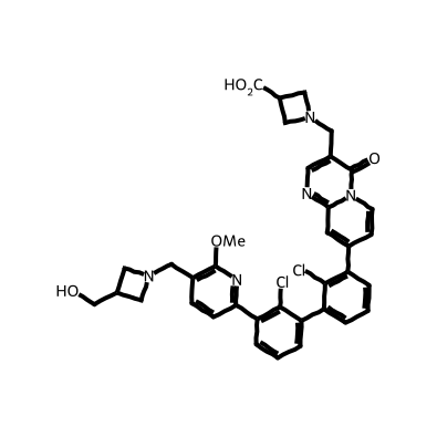 COc1nc(-c2cccc(-c3cccc(-c4ccn5c(=O)c(CN6CC(C(=O)O)C6)cnc5c4)c3Cl)c2Cl)ccc1CN1CC(CO)C1